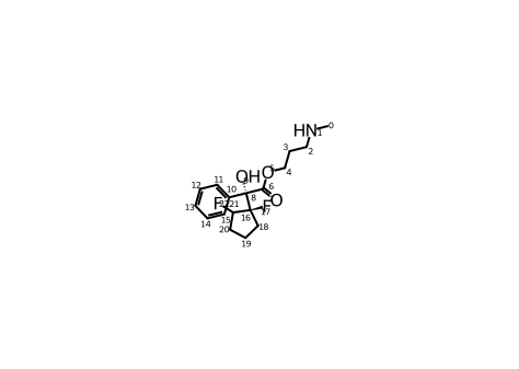 CNCCCOC(=O)[C@](O)(c1ccccc1)[C@]1(F)CCCC1F